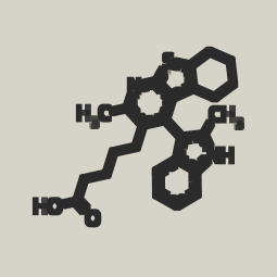 Cc1nc2sc3c(c2c(-c2c(C)[nH]c4ccccc24)c1CCCCC(=O)O)CCCC3